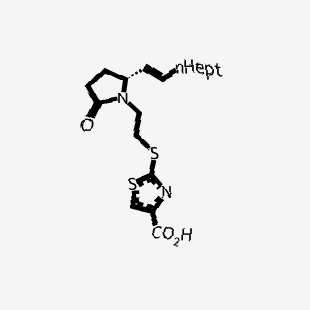 CCCCCCC/C=C/[C@H]1CCC(=O)N1CCSc1nc(C(=O)O)cs1